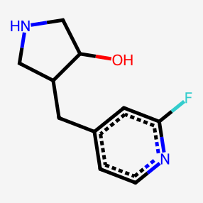 OC1CNCC1Cc1ccnc(F)c1